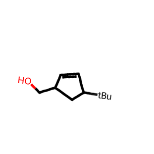 CC(C)(C)C1C=CC(CO)C1